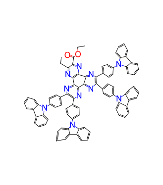 CCOC(=O)c1nc2c(nc1CC)c1nc(-c3ccc(-n4c5ccccc5c5ccccc54)cc3)c(-c3ccc(-n4c5ccccc5c5ccccc54)cc3)nc1c1nc(-c3ccc(-n4c5ccccc5c5ccccc54)cc3)c(-c3ccc(-n4c5ccccc5c5ccccc54)cc3)nc21